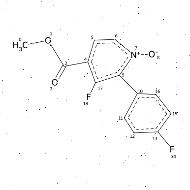 COC(=O)c1cc[n+]([O-])c(-c2ccc(F)cc2)c1F